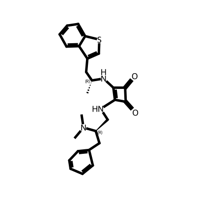 C[C@H](Cc1csc2ccccc12)Nc1c(NC[C@@H](Cc2ccccc2)N(C)C)c(=O)c1=O